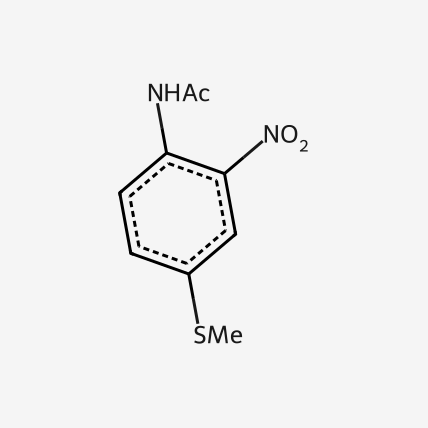 CSc1ccc(NC(C)=O)c([N+](=O)[O-])c1